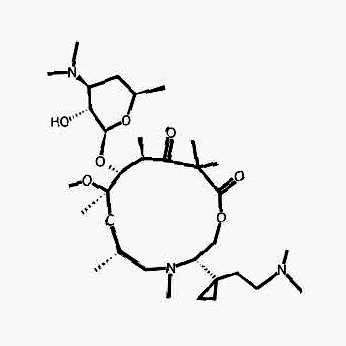 CO[C@]1(C)C[C@@H](C)CN(C)[C@@H](C2(CCN(C)C)CC2)COC(=O)C(C)(C)C(=O)[C@H](C)[C@H]1O[C@@H]1O[C@H](C)C[C@H](N(C)C)[C@H]1O